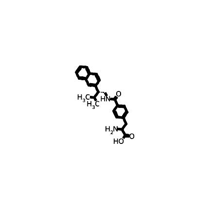 CC(C)[C@@H](CNC(=O)c1ccc(CC(N)C(=O)O)cc1)c1ccc2ccccc2c1